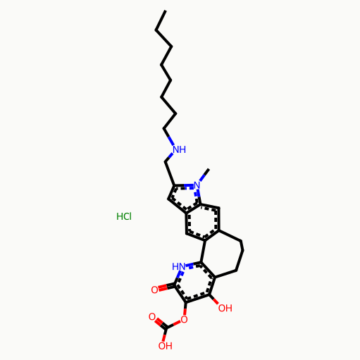 CCCCCCCCNCc1cc2cc3c(cc2n1C)CCCc1c-3[nH]c(=O)c(OC(=O)O)c1O.Cl